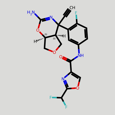 C#CC1(c2cc(NC(=O)c3coc(C(F)F)n3)ccc2F)N=C(N)O[C@@H]2COC[C@@H]21